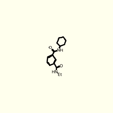 CCNC(=O)c1cccc(C(=O)NC2CCCCC2)c1